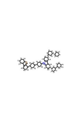 c1ccc(-c2cccc(-c3ccc4c(c3)c3cc(-c5cccc(-c6ccccc6)c5)ccc3n4-c3ccc(-c4ccc(-c5cccc6c5sc5ccccc56)cc4)cc3)c2)cc1